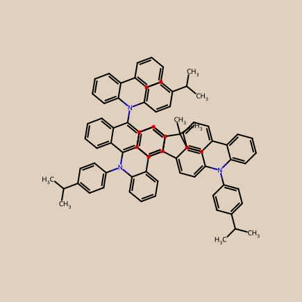 CC(C)c1ccc(N(c2ccc3c(c2)C(C)(C)c2cc4c(N(c5ccc(C(C)C)cc5)c5ccccc5-c5ccccc5)c5ccccc5c(N(c5ccc(C(C)C)cc5)c5ccccc5-c5ccccc5)c4cc2-3)c2ccccc2-c2ccccc2)cc1